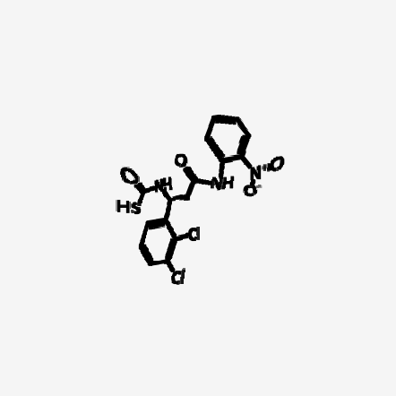 O=C(S)N[C@@H](CC(=O)Nc1ccccc1[N+](=O)[O-])c1cccc(Cl)c1Cl